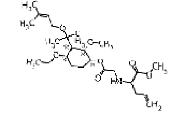 C=CCC(NCC(=O)O[C@@H]1CC[C@@H](OCC)[C@@H](C(C)(C)OCC=C(C)C)[C@@H]1OC)C(=O)OC